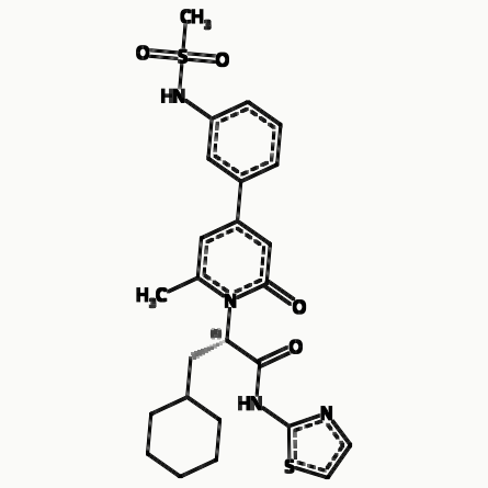 Cc1cc(-c2cccc(NS(C)(=O)=O)c2)cc(=O)n1[C@@H](CC1CCCCC1)C(=O)Nc1nccs1